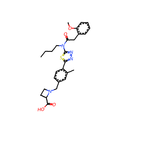 CCCCN(C(=O)Cc1ccccc1OC)c1nnc(-c2ccc(CN3CCC3C(=O)O)cc2C)s1